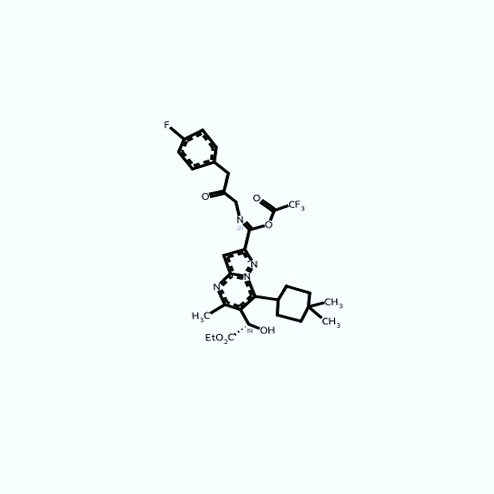 CCOC(=O)[C@@H](O)c1c(C)nc2cc(/C(=N/CC(=O)Cc3ccc(F)cc3)OC(=O)C(F)(F)F)nn2c1C1CCC(C)(C)CC1